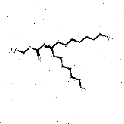 CCCCCCCC/C(=C/C(=O)OCC)CCCCCCC